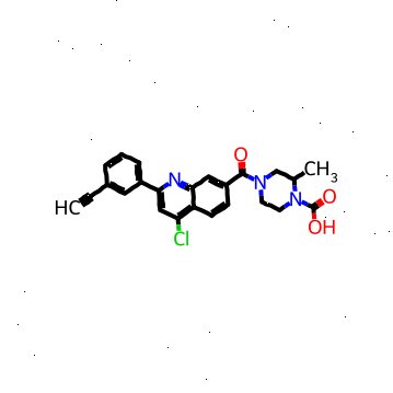 C#Cc1cccc(-c2cc(Cl)c3ccc(C(=O)N4CCN(C(=O)O)C(C)C4)cc3n2)c1